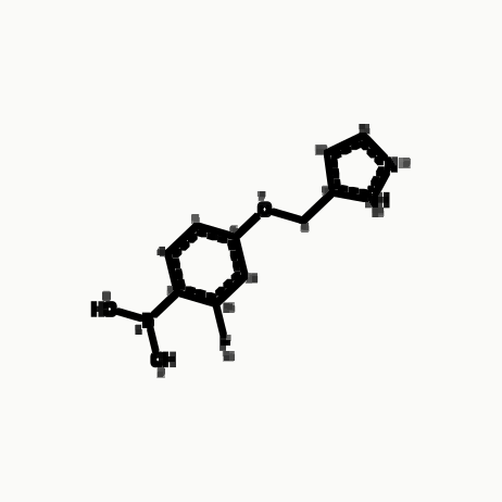 OB(O)c1ccc(OCc2ccn[nH]2)cc1F